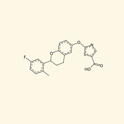 Cc1ccc(F)cc1C1CCc2cc(Oc3ncc(C(=O)O)s3)ccc2O1